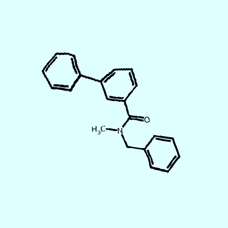 CN(Cc1ccccc1)C(=O)c1cccc(-c2ccccc2)c1